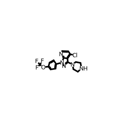 FC(F)(F)Oc1ccc(-n2nc(N3CCNCC3)c3c(Cl)ccnc32)cc1